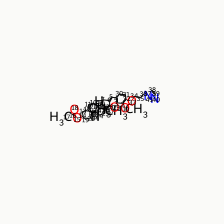 COc1cc(C=C2C[C@H]3[C@@H]4CC=C5CC(OC(C)=O)CC[C@]5(C)[C@@H]4CC[C@]3(C)C2=O)ccc1OCCCn1ccnc1